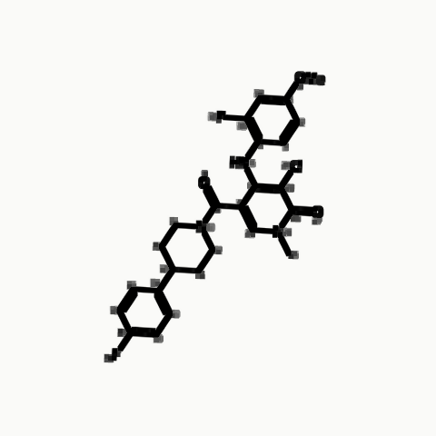 COc1ccc(Nc2c(C(=O)N3CCC(c4ccc(F)cc4)CC3)cn(C)c(=O)c2Cl)c(F)c1